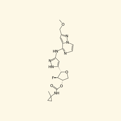 COCc1cc2c(Nc3cc([C@@H]4OC[C@H](OC(=O)NC5(C)CC5)[C@H]4F)[nH]n3)nccn2n1